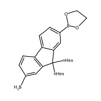 Bc1ccc2c(c1)C(CCCCCC)(CCCCCC)c1cc(B3OCCO3)ccc1-2